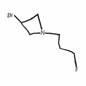 FCCCN1CC(Br)C1